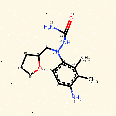 Cc1c(N)ccc(N(CC2CCCO2)NC(N)=O)c1C